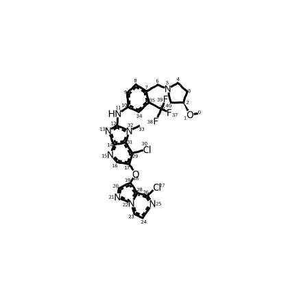 CO[C@@H]1CCN(Cc2ccc(Nc3nc4ncc(Oc5cnn6ccnc(Cl)c56)c(Cl)c4n3C)cc2C(F)(F)F)C1